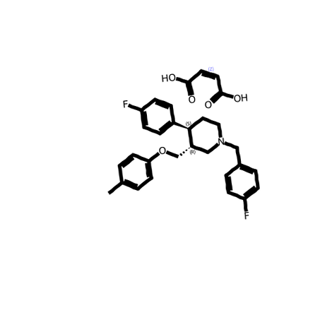 Cc1ccc(OC[C@H]2CN(Cc3ccc(F)cc3)CC[C@@H]2c2ccc(F)cc2)cc1.O=C(O)/C=C\C(=O)O